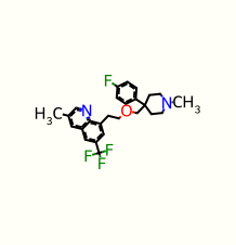 Cc1cnc2c(CCOCC3(c4ccc(F)cc4)CCN(C)CC3)cc(C(F)(F)F)cc2c1